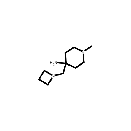 CN1CCC(N)(CN2CCC2)CC1